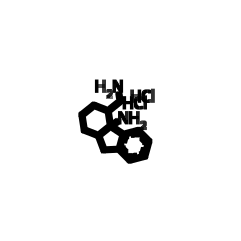 Cl.Cl.NCC1CCCC2Cc3ccccc3C12N